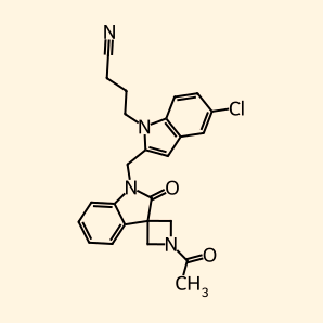 CC(=O)N1CC2(C1)C(=O)N(Cc1cc3cc(Cl)ccc3n1CCCC#N)c1ccccc12